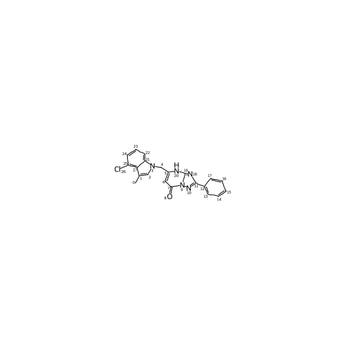 Cc1cn(Cc2cc(=O)n3nc(-c4ccccc4)nc3[nH]2)c2cccc(Cl)c12